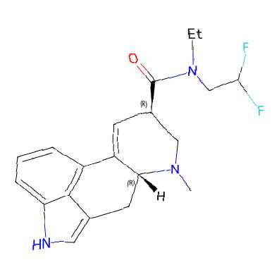 CCN(CC(F)F)C(=O)[C@@H]1C=C2c3cccc4[nH]cc(c34)C[C@H]2N(C)C1